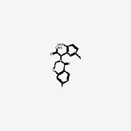 COC(=O)C(c1cc(F)ccc1OC)N1COc2cc(I)ccc2C1=O